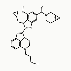 COc1cc(C(=O)N2CCC3CC3(N)C2)cc2nc(-c3cc4cccc5c4n3CCN5CCCO)n(CC3CC3)c12